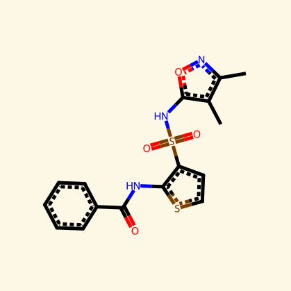 Cc1noc(NS(=O)(=O)c2ccsc2NC(=O)c2ccccc2)c1C